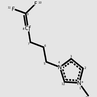 C[n+]1ccn(CC[CH2][Cf]=[C](F)F)c1